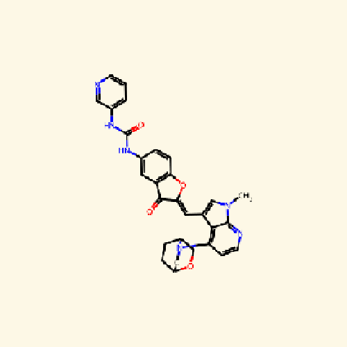 Cn1cc(C=C2Oc3ccc(NC(=O)Nc4cccnc4)cc3C2=O)c2c(N3CC4CCC3CO4)ccnc21